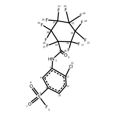 O=C(Nc1cc(S(=O)(=O)F)ccc1Cl)C1(F)C(F)(F)C(F)(F)C(F)(F)C(F)(F)C1(F)F